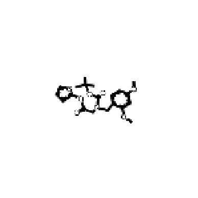 COc1ccc(CN(CC(=O)Oc2cccs2)C(=O)OC(C)(C)C)c(OC)c1